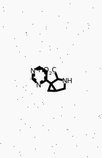 O=C(O)C1NCC2CC21c1ccn[c]n1